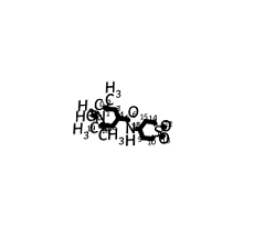 CC1(C)CC(C(=O)NC2CCS(=O)(=O)CC2)CC(C)(C)N1O